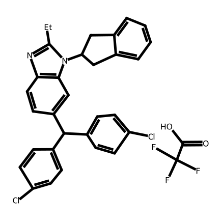 CCc1nc2ccc(C(c3ccc(Cl)cc3)c3ccc(Cl)cc3)cc2n1C1Cc2ccccc2C1.O=C(O)C(F)(F)F